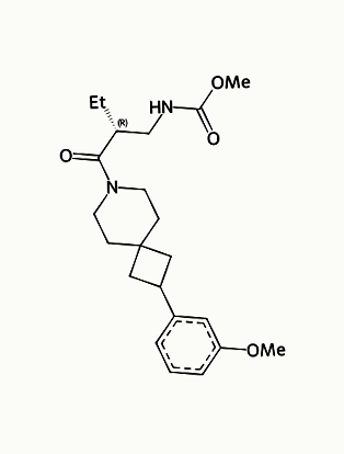 CC[C@H](CNC(=O)OC)C(=O)N1CCC2(CC1)CC(c1cccc(OC)c1)C2